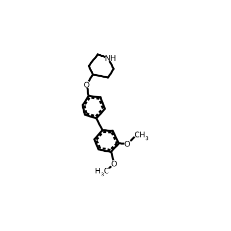 COc1ccc(-c2ccc(OC3CCNCC3)cc2)cc1OC